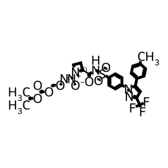 Cc1ccc(-c2cc(C(F)(F)F)nn2-c2ccc(S(=O)(=O)NC(=O)[C@@H]3CCN3[N+]([O-])=NOCOC(=O)OC(C)C)cc2)cc1